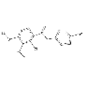 CCCc1ccc(CC(=O)c2ccc(OCC)c(C(F)F)c2O)cc1